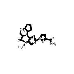 CCC1C(=O)N(C)c2cnc(-n3ccc(C(N)=O)n3)nc2N1C1CCCC1